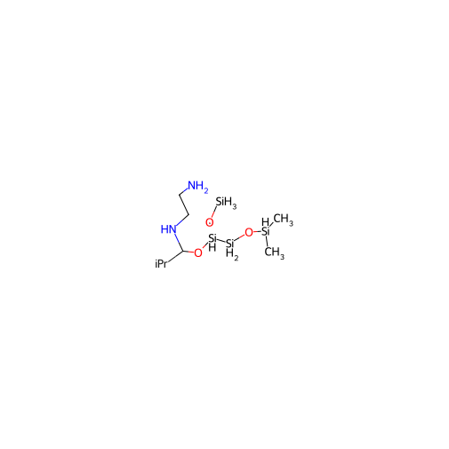 CC(C)C(NCCN)O[SiH](O[SiH3])[SiH2]O[SiH](C)C